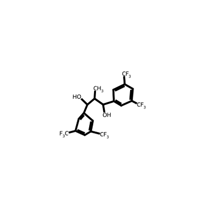 CC(C(O)c1cc(C(F)(F)F)cc(C(F)(F)F)c1)C(O)c1cc(C(F)(F)F)cc(C(F)(F)F)c1